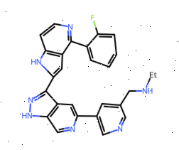 CCNCc1cncc(-c2cc3c(-c4cc5c(-c6ccccc6F)nccc5[nH]4)n[nH]c3cn2)c1